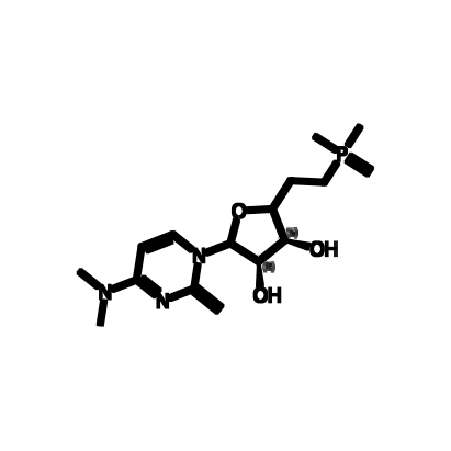 C=C1N=C(N(C)C)C=CN1C1OC(CCP(=C)(C)C)[C@@H](O)[C@H]1O